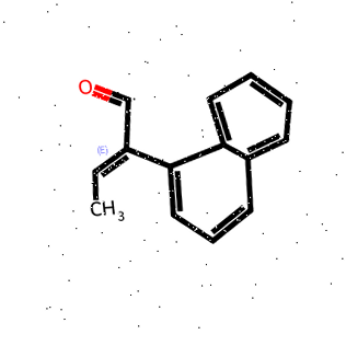 C/C=C(/[C]=O)c1cccc2ccccc12